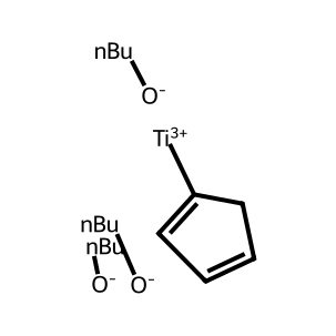 CCCC[O-].CCCC[O-].CCCC[O-].[Ti+3][C]1=CC=CC1